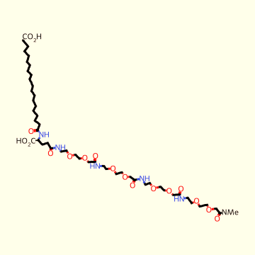 CNC(=O)COCCOCCNC(=O)COCCOCCNC(=O)COCCOCCNC(=O)COCCOCCNC(=O)CC[C@H](NC(=O)CCCCCCCCCCCCCCCCCCC(=O)O)C(=O)O